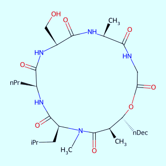 CCCCCCCCCC[C@H]1OC(=O)CNC(=O)[C@H](C)NC(=O)[C@H](CO)NC(=O)[C@H](CCC)NC(=O)[C@H](CC(C)C)N(C)C(=O)[C@@H]1C